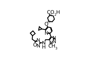 Cn1nnc(-c2ccc(O[C@H]3CCC[C@H](C(=O)O)C3)c(C3CC3)n2)c1CNc1noc(CC2CCC2)n1